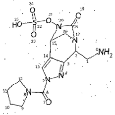 NCC1c2nn(C(=O)N3CCCC3)cc2C2CN1C(=O)N2OS(=O)(=O)O